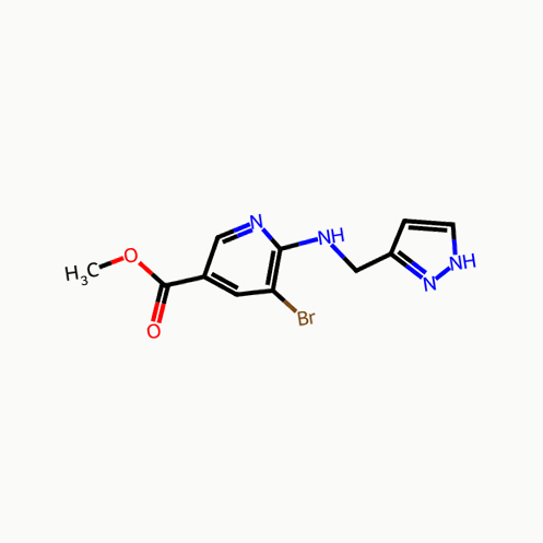 COC(=O)c1cnc(NCc2cc[nH]n2)c(Br)c1